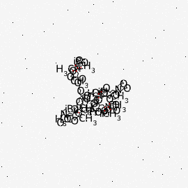 CCC(C)CN(CC1CO1)C(=O)CC(C(=O)OCCOCC(COCCOCCOC(=O)C(CC(=O)N(CC1CO1)CC1CO1)C1(C)OC1C(C)CC(C)CC(C)C)(COCCOC(=O)C(CC(=O)N(CC1CO1)CC1CO1)C1(C)OC1C(C)CC(C)CC(C)C)COCCOC(=O)C(CC(=O)N(CC1CO1)CC1CO1)C1(C)OC1C(C)CC(C)CC(C)C)C1(C)OC1C(C)CC(C)CC(C)C